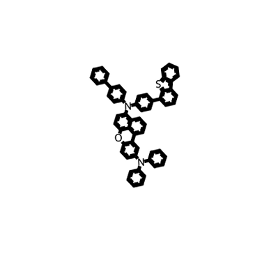 c1ccc(-c2ccc(N(c3ccc(-c4cccc5c4sc4ccccc45)cc3)c3ccc4c5c(cccc35)-c3cc(N(c5ccccc5)c5ccccc5)ccc3O4)cc2)cc1